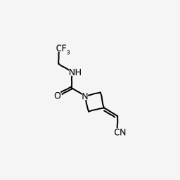 N#CC=C1CN(C(=O)NCC(F)(F)F)C1